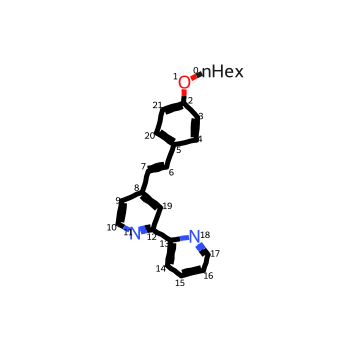 CCCCCCOc1ccc(/C=C/c2ccnc(-c3ccccn3)c2)cc1